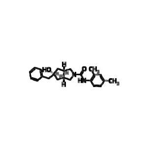 Cc1ccc(NC(=O)N2C[C@@H]3C[C@@](O)(Cc4ccccc4)C[C@@H]3C2)c(C)c1